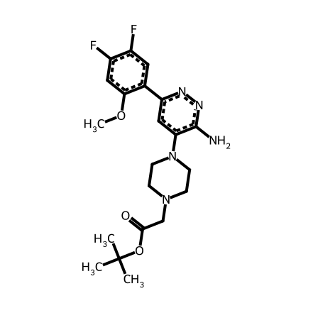 COc1cc(F)c(F)cc1-c1cc(N2CCN(CC(=O)OC(C)(C)C)CC2)c(N)nn1